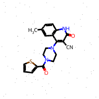 Cc1ccc2[nH]c(=O)c(C#N)c(N3CCN(C(=O)c4cccs4)CC3)c2c1